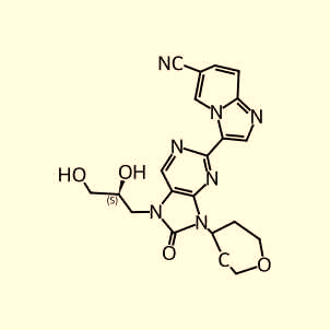 N#Cc1ccc2ncc(-c3ncc4c(n3)n(C3CCOCC3)c(=O)n4C[C@H](O)CO)n2c1